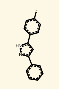 Fc1ccc(-c2cc(-c3ccccc3)n[nH]2)cc1